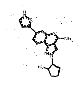 Nc1nc2cc(-c3cc[nH]n3)ccc2c2nn(C3CCCC3O)cc12